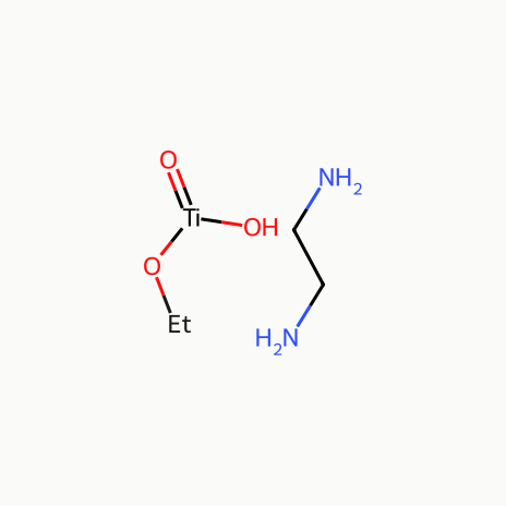 CC[O][Ti](=[O])[OH].NCCN